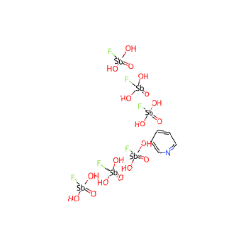 [O]=[Sb]([OH])([OH])[F].[O]=[Sb]([OH])([OH])[F].[O]=[Sb]([OH])([OH])[F].[O]=[Sb]([OH])([OH])[F].[O]=[Sb]([OH])([OH])[F].[O]=[Sb]([OH])([OH])[F].c1ccncc1